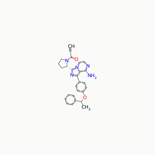 C#CC(=O)N1CCC[C@H]1c1nc(-c2ccc(OC(C)c3ccccc3)cc2)c2c(N)nccn12